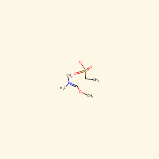 CCS(=O)(=O)[O-].COC=[N+](C)C